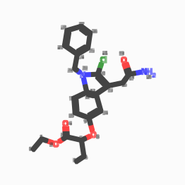 CCOC(=O)C(CC)Oc1ccc2c(c1)c(CC(N)=O)c(Cl)n2Cc1ccccc1